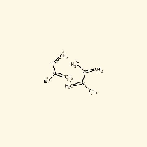 C=C(C)C(=C)C.C=CC(=C)CC